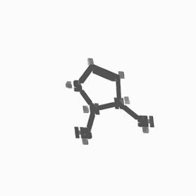 SN1C=CSN1S